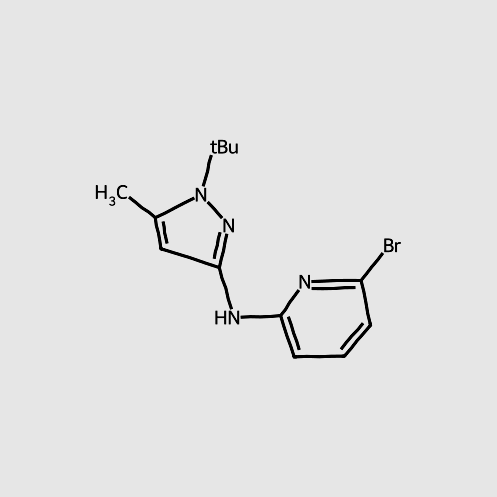 Cc1cc(Nc2cccc(Br)n2)nn1C(C)(C)C